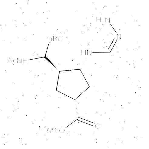 CCCCC(NC(C)=O)[C@@H]1C[C@@H](C(=O)OC)C[C@H]1N/C=N\N